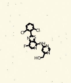 OCc1cc(Nc2ncc(F)c3nc(-c4c(Cl)cccc4Cl)sc23)ncn1